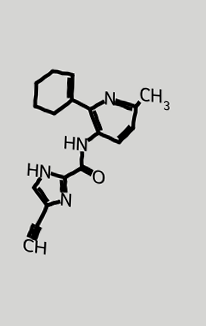 C#Cc1c[nH]c(C(=O)Nc2ccc(C)nc2C2=CCCCC2)n1